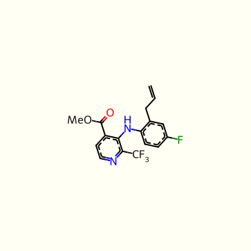 C=CCc1cc(F)ccc1Nc1c(C(=O)OC)ccnc1C(F)(F)F